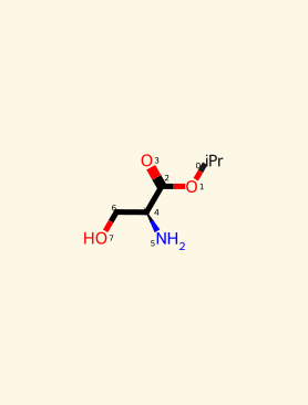 CC(C)OC(=O)[C@@H](N)CO